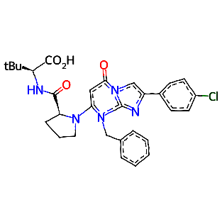 CC(C)(C)[C@H](NC(=O)[C@@H]1CCCN1c1cc(=O)n2cc(-c3ccc(Cl)cc3)nc2n1Cc1ccccc1)C(=O)O